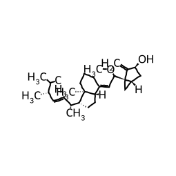 C=C1[C@@H](O)C[C@@H]2C[C@]12C(/C=C1\CCC[C@]2(C)[C@@H]([C@H](C)/C=C/[C@H](C)C(C)C)CC[C@@H]12)OC